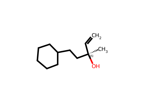 C=C[C@@](C)(O)CCC1CCCCC1